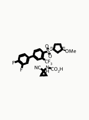 CO[C@@H]1CC[C@@H](S(=O)(=O)c2ccc(-c3ccc(F)c(F)c3)cc2C(F)(F)F)C1.N#CC1(NC(=O)O)CC1